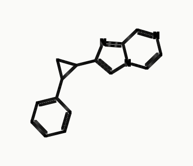 c1ccc(C2CC2c2cn3ccncc3n2)cc1